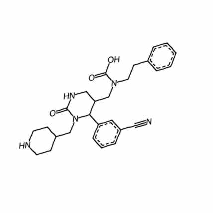 N#Cc1cccc(C2C(CN(CCc3ccccc3)C(=O)O)CNC(=O)N2CC2CCNCC2)c1